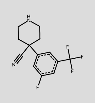 N#CC1(c2cc(F)cc(C(F)(F)F)c2)CCNCC1